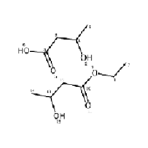 CC(O)CC(=O)O.CCOC(=O)CC(C)O